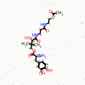 CC(=O)SCCNC(=O)CCNC(=O)[C@H](O)C(C)(C)COC(=O)[C@@H](N)Cc1ccc(O)c(O)c1